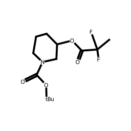 CC(C)(C)OC(=O)N1CCCC(OC(=O)C(C)(F)F)C1